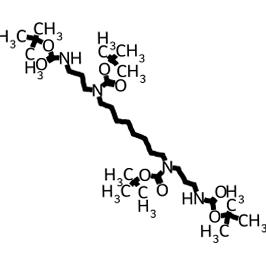 CC(C)(C)OC(=O)NCCCN(CCCCCCCCN(CCCNC(=O)OC(C)(C)C)C(=O)OC(C)(C)C)C(=O)OC(C)(C)C